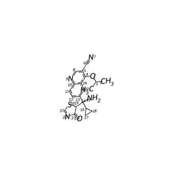 CC(C)Oc1c(C#N)cnc2ccc(C(N)(C3CC3)C3SC=NC3=O)cc12